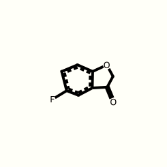 O=C1COc2ccc(F)cc21